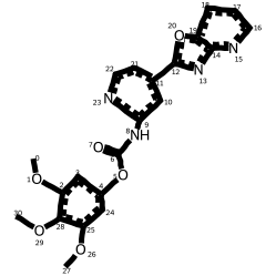 COc1cc(OC(=O)Nc2cc(-c3nc4ncccc4o3)ccn2)cc(OC)c1OC